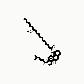 CCCCCCC(O)CCCCCCCCCCC(=O)OC1CCCC2CC[C@@H]3[C@H](CC[C@]4(C)[C@@H]([C@H](C)CCCC(C)C)CC[C@@H]34)[C@]21C